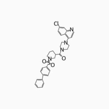 O=C(C1CCCN(S(=O)(=O)c2ccc(-c3ccccc3)cc2)C1)N1CCN(c2ccnc3cc(Cl)ccc23)CC1